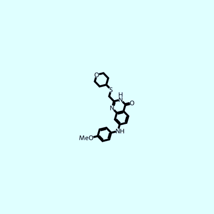 COc1ccc(Nc2ccc3c(=O)[nH]c(CSC4CCOCC4)nc3c2)cc1